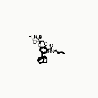 CCCCNC(=O)c1cc(C23CC4CC(CC(C4)C2)C3)cc2c1OCC(S(N)(=O)=O)O2